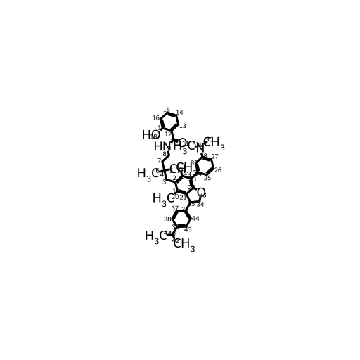 Cc1c(CC(C)(C)CCNC(=O)c2ccccc2O)c(C)c2c(c1-c1cccc(N(C)C)c1)OCC2c1ccc(C(C)C)cc1